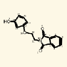 O=C1c2cc#ccc2C(=O)N1CCOc1cccc(O)c1